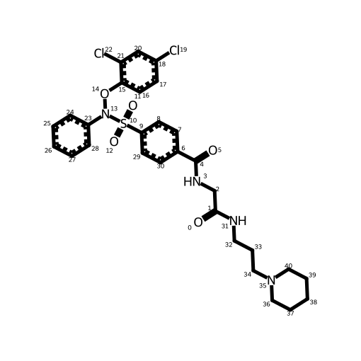 O=C(CNC(=O)c1ccc(S(=O)(=O)N(Oc2ccc(Cl)cc2Cl)c2ccccc2)cc1)NCCCN1CCCCC1